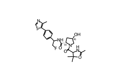 CC(=O)NC(C(=O)N1C[C@H](O)C[C@H]1C(=O)NC(CF)c1ccc(-c2scnc2C)cc1)C(C)(C)C